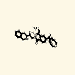 CCc1nn(CC(O)C2Cc3ccccc3CN2)c(=O)c2ccc(C(=O)N3C4CCC3COC4)cc12